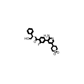 Nc1ncc(C2CCS(=O)(=O)CC2)cc1-c1ccc(C(=O)C[C@H](CO)c2ccccc2)c(F)c1